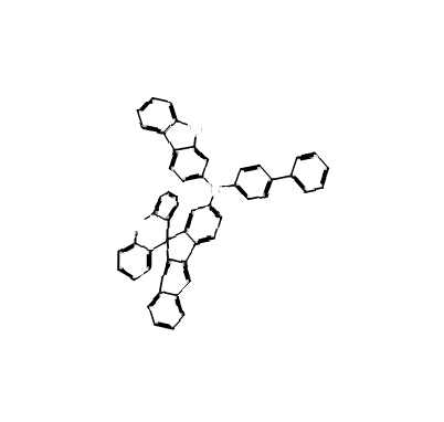 c1ccc(-c2ccc(N(c3ccc4c(c3)C3(c5ccccc5Oc5ccccc53)c3cc5ccccc5cc3-4)c3ccc4c(c3)oc3ccccc34)cc2)cc1